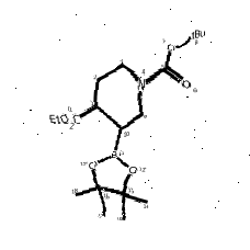 CCOC(=O)C1CCN(C(=O)OC(C)(C)C)CC1B1OC(C)(C)C(C)(C)O1